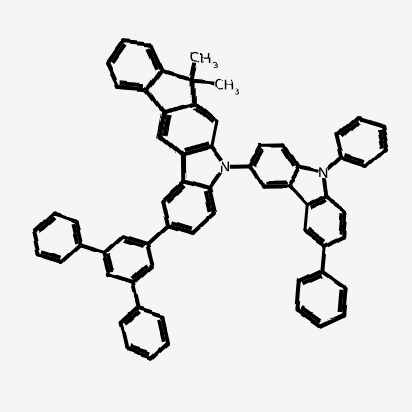 CC1(C)c2ccccc2-c2cc3c4cc(-c5cc(-c6ccccc6)cc(-c6ccccc6)c5)ccc4n(-c4ccc5c(c4)c4cc(-c6ccccc6)ccc4n5-c4ccccc4)c3cc21